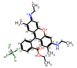 CCN=c1cc2oc3cc(NCC)c(C)cc3c(-c3ccccc3C(=O)OCC)c-2cc1C.F[B-](F)(F)F